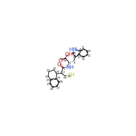 O=C(N[C@@H](Cc1c[nH]c2ccccc12)C(=O)O)C(CS)C1CCCc2ccccc21